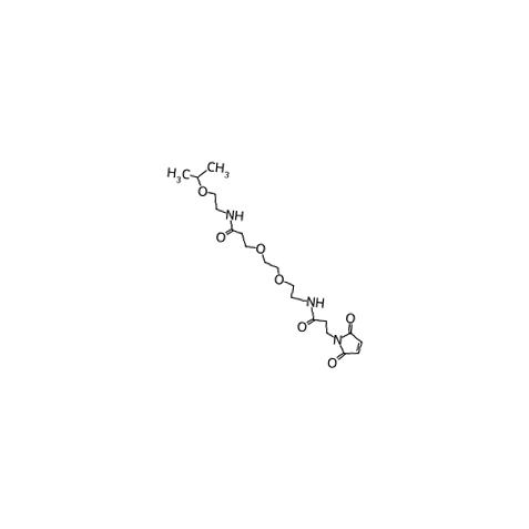 CC(C)OCCNC(=O)CCOCCOCCNC(=O)CCN1C(=O)C=CC1=O